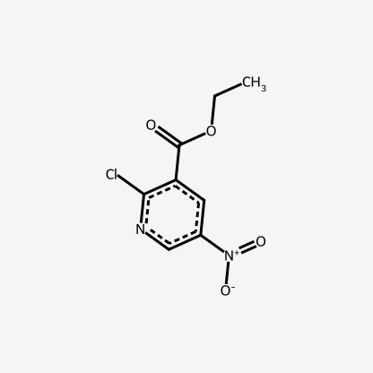 CCOC(=O)c1cc([N+](=O)[O-])cnc1Cl